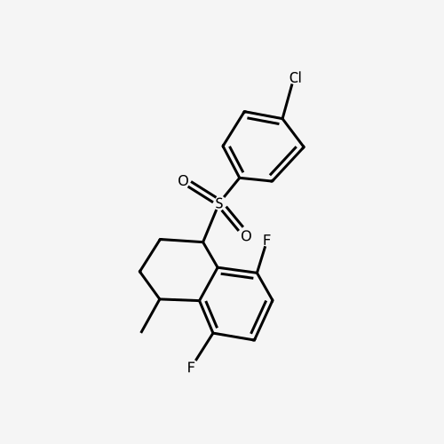 CC1CCC(S(=O)(=O)c2ccc(Cl)cc2)c2c(F)ccc(F)c21